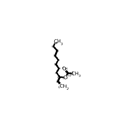 C=CC(CCCCCCCC)OC(C)=O